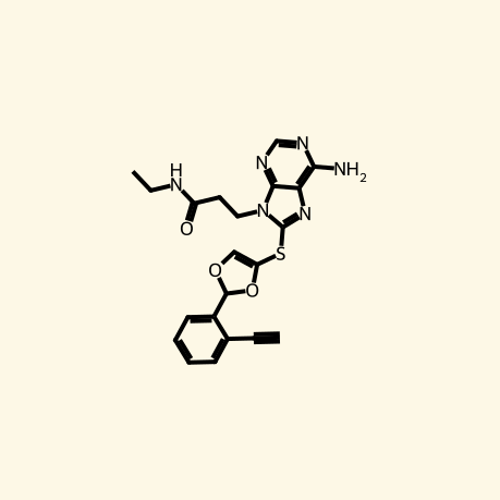 C#Cc1ccccc1C1OC=C(Sc2nc3c(N)ncnc3n2CCC(=O)NCC)O1